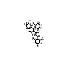 CC1(C)Sc2ccc(C(=O)NCc3c(F)cc(F)cc3F)cc2N(Cc2ccccc2F)C1=O